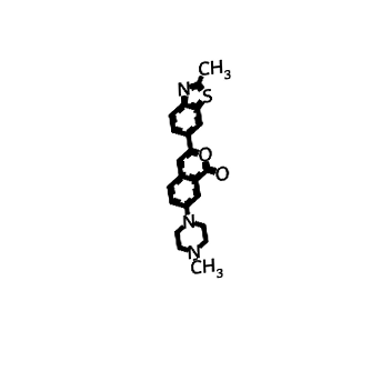 Cc1nc2ccc(-c3cc4ccc(N5CCN(C)CC5)cc4c(=O)o3)cc2s1